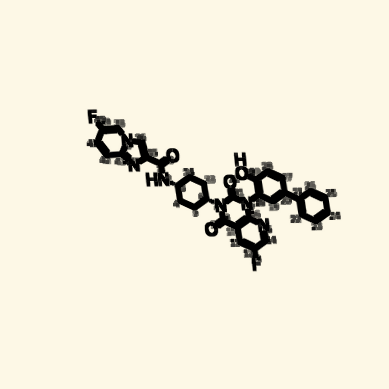 O=C(N[C@H]1CC[C@@H](n2c(=O)c3cc(F)cnc3n(-c3cc(-c4ccccc4)ccc3O)c2=O)CC1)c1cn2cc(F)ccc2n1